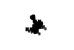 Cc1c(F)c(N)cc(-c2nc3c4c(nc(N5CC(C6CS(=O)(=O)C6)C5)nc4c2F)N2C[C@H]4CC[C@H](N4)[C@H]2[C@H](C)O3)c1C(F)(F)F